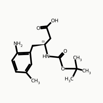 Cc1ccc(N)c(C[C@@H](CC(=O)O)NC(=O)OC(C)(C)C)c1